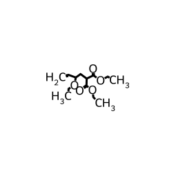 C=CC(CC(C(=O)OCC)C(=O)OCC)OCC